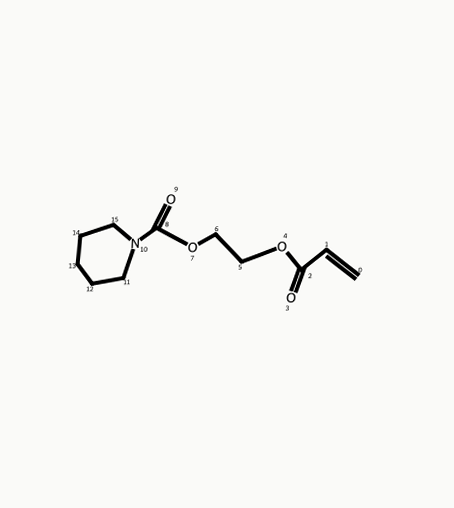 C=CC(=O)OCCOC(=O)N1CCCCC1